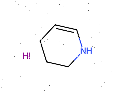 C1=CNCCC1.I